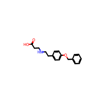 O=C(O)CCNCCc1ccc(OCc2ccccc2)cc1